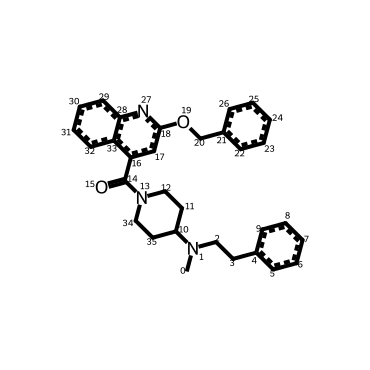 CN(CCc1ccccc1)C1CCN(C(=O)c2cc(OCc3ccccc3)nc3ccccc23)CC1